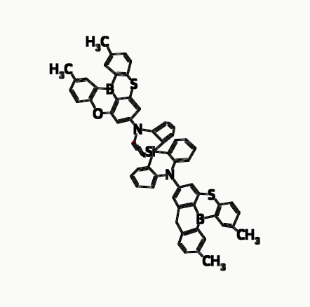 Cc1ccc2c(c1)B1c3cc(C)ccc3Sc3cc(N4c5ccccc5[Si]5(c6ccccc64)c4ccccc4N(c4cc6c7c(c4)Sc4ccc(C)cc4B7c4cc(C)ccc4O6)c4ccccc45)cc(c31)C2